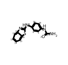 NC(=O)Nc1ccc(Nc2nc3ccccc3s2)cc1